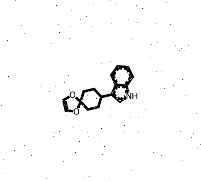 C1=COC2(CCC(c3c[nH]c4ccccc34)CC2)O1